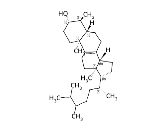 CC(C)C(C)CC[C@@H](C)[C@H]1CC[C@H]2C3=C(CC[C@]12C)[C@@]1(C)CC[C@H](O)[C@@H](C)[C@@H]1CC3